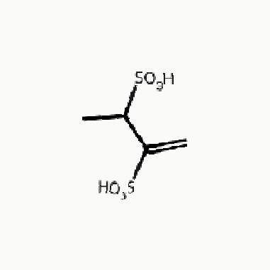 C=C(C(C)S(=O)(=O)O)S(=O)(=O)O